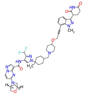 Cn1nc(C2CCC(=O)NC2=O)c2cccc(C#CCOC3CCN(CC4CCC(C)(n5cc(NC(=O)c6cnn7ccc(N8C[C@H]9C[C@@H]8CO9)nc67)c(C(F)F)n5)CC4)CC3)c21